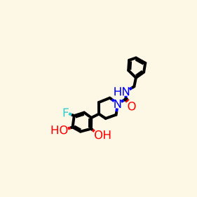 O=C(NCc1ccccc1)N1CCC(c2cc(F)c(O)cc2O)CC1